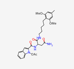 COc1cc(C)cc(OC)c1CCCCCNC(=O)C(CC(N)=O)NC(=O)c1cc2ccccc2n1OC(C)=O